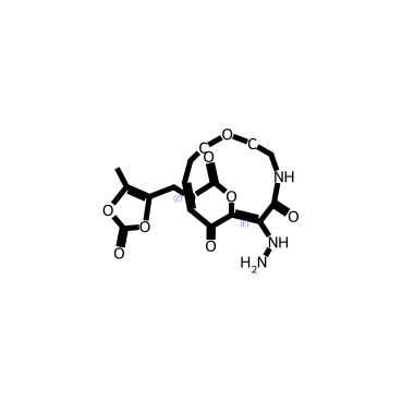 Cc1oc(=O)oc1COC(=O)O/C1=C(/NN)C(=O)NCCOCC/C=C\C1=O